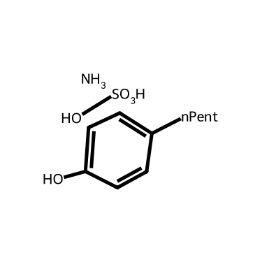 CCCCCc1ccc(O)cc1.N.O=S(=O)(O)O